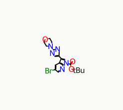 CC(C)(C)OC(=O)n1cc(-c2cnc(N3CCOCC3)nc2)c2cc(Br)cnc21